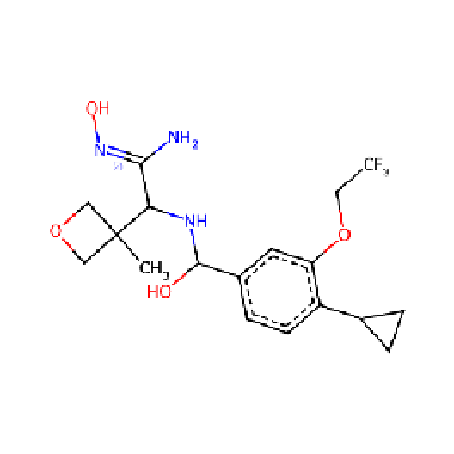 CC1(C(NC(O)c2ccc(C3CC3)c(OCC(F)(F)F)c2)/C(N)=N/O)COC1